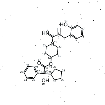 N=C(NCc1ccccc1O)N1CCC(OC(=O)[C@](O)(c2ccccc2)C2CCCC2)CC1